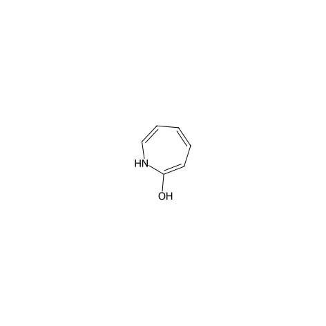 OC1=CC=CC=CN1